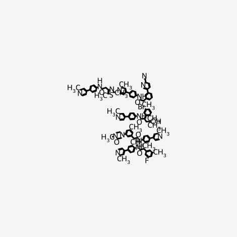 Cc1cc(-c2ccc(NC(=O)C(C)c3cccc(-c4ccc(C#N)nc4)c3)cc2)ccn1.Cc1cc(-c2ccc(NC(=O)C(CC(C)(C)O)c3cccc(Br)c3)cc2)ccn1.Cc1cc(-c2ccc(NC(=O)Cc3nc(C)sc3C)cc2)ccn1.Cc1cc(C(C)C(=O)Nc2ccc(-c3ccnc(C)c3)cc2)cc(N2CCN(C)C(=O)C2)c1.Cc1cc(F)cc(C(C)C(=O)Nc2ccc(-c3ccnc(C)c3)cc2)c1